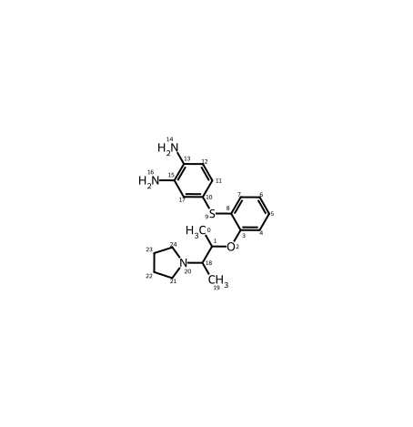 CC(Oc1ccccc1Sc1ccc(N)c(N)c1)C(C)N1CCCC1